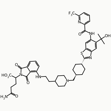 CC(C)(O)c1cc2nc([C@H]3CC[C@H](CN4CCC(CCNc5cccc6c5C(=O)N(C(CCC(N)=O)C(=O)O)C6=O)CC4)CC3)sc2cc1NC(=O)c1cccc(C(F)(F)F)n1